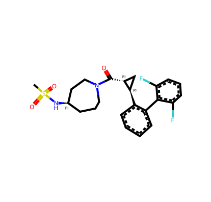 CS(=O)(=O)N[C@@H]1CCCN(C(=O)[C@@H]2C[C@H]2c2ccccc2-c2c(F)cccc2F)CC1